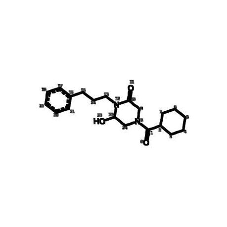 O=C(C1CCCCC1)N1CC(=O)N(CCCc2ccccc2)C(O)C1